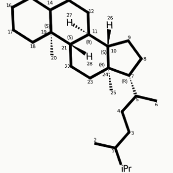 CC(C)C(C)CCC(C)[C@H]1CC[C@H]2[C@@H]3CCC4CCCC[C@]4(C)[C@H]3CC[C@]12C